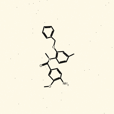 COc1cc(C(=O)N(C)c2ccc(C)cc2OCc2ccccc2)ccc1N